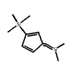 C[Si](C)=C1[C]=C([Si](C)(C)C)C=C1